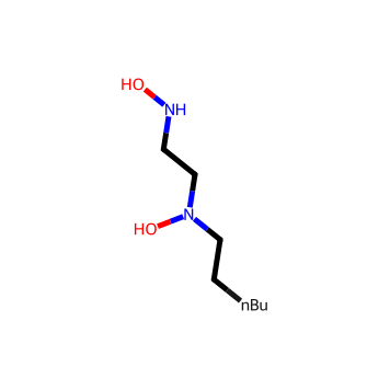 CCCCCCN(O)CCNO